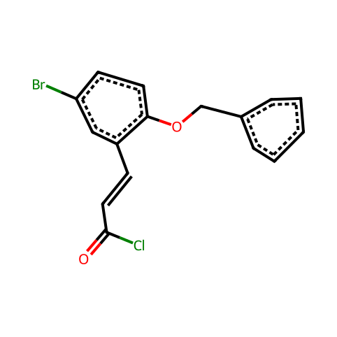 O=C(Cl)/C=C/c1cc(Br)ccc1OCc1ccccc1